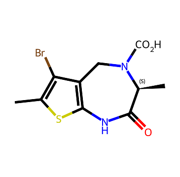 Cc1sc2c(c1Br)CN(C(=O)O)[C@@H](C)C(=O)N2